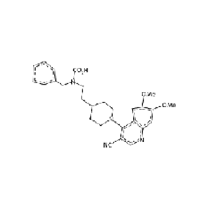 COc1cc2ncc(C#N)c(N3CCC(CCN(Cc4ccccc4)C(=O)O)CC3)c2cc1OC